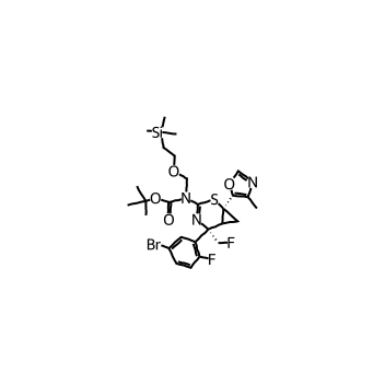 Cc1ncoc1[C@]12CC1[C@@](CF)(c1cc(Br)ccc1F)N=C(N(COCC[Si](C)(C)C)C(=O)OC(C)(C)C)S2